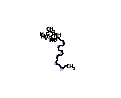 CC/C=C\C/C=C\C/C=C\C/C=C\C/C=C\C/C=C\CCC(O)NC(CC(C)C)C(C)O